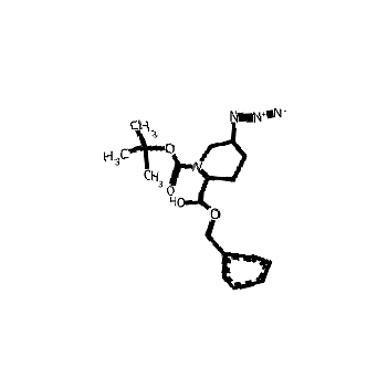 CC(C)(C)OC(=O)N1CC(N=[N+]=[N-])CCC1C(O)OCc1ccccc1